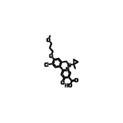 COCCCOc1cc2c(cc1Cl)-c1cc(=O)c(C(=O)O)cn1N(C1(C)CC1)C2